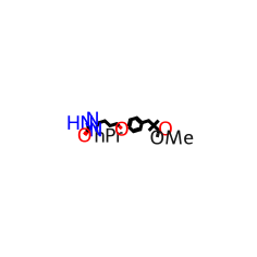 CCCn1c(CCCOc2ccc(CC(C)(C)C(=O)OC)cc2)n[nH]c1=O